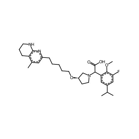 COc1c(F)cc(C(C)C)cc1C(C(=O)O)N1CC[C@@H](OCCCCCc2cc(C)c3c(n2)NCCC3)C1